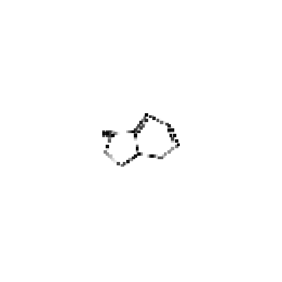 C1=CCC2CCNC2=C1